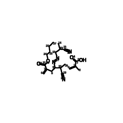 C=C(C)C(=O)O.C=C(CC(N=NCC(C)C#N)C(C)C#N)C(=O)OCCCC